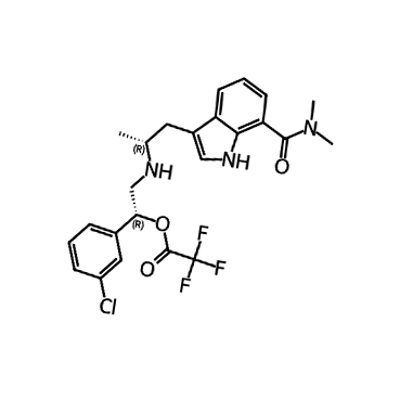 C[C@H](Cc1c[nH]c2c(C(=O)N(C)C)cccc12)NC[C@H](OC(=O)C(F)(F)F)c1cccc(Cl)c1